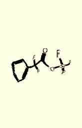 O=C(O[Si](F)(F)F)C(F)(F)c1ccccc1